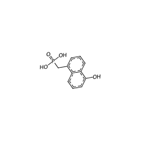 O=P(O)(O)Cc1cccc2c(O)cccc12